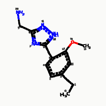 CCc1ccc(-c2nc(CN)n[nH]2)c(OC)c1